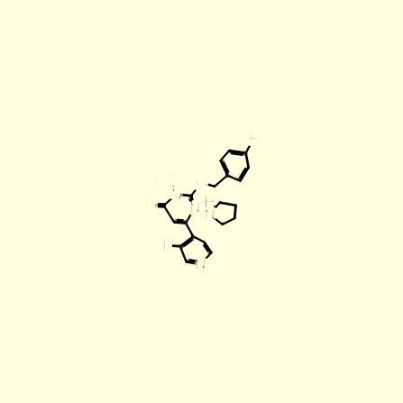 Cn1c(OC(c2ccc(F)cc2)[C@@H]2CCCN2)nc(-c2ccncc2F)cc1=O